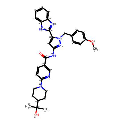 COc1ccc(Cn2nc(NC(=O)c3ccc(N4CCC(C(C)(C)O)CC4)nc3)cc2-c2nc3ccccc3[nH]2)cc1